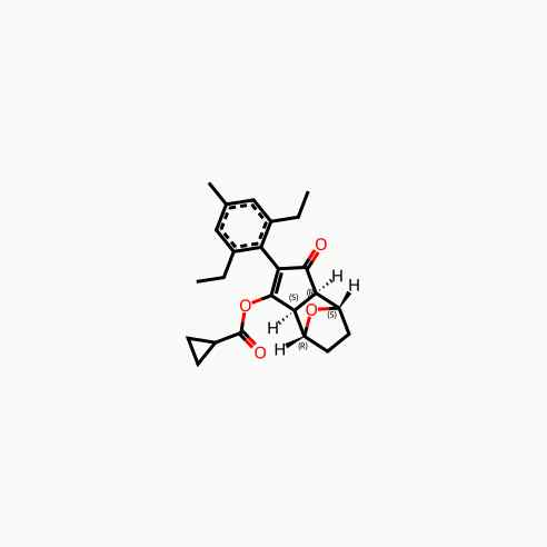 CCc1cc(C)cc(CC)c1C1=C(OC(=O)C2CC2)[C@H]2[C@@H](C1=O)[C@@H]1CC[C@H]2O1